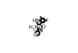 Cc1cc(F)cc2c1NCC[C@@H]2C(=O)n1nc2c(c1N)COCC2